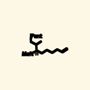 C=CCCCC[C@@H](NC)C(C)CC(C)CCC